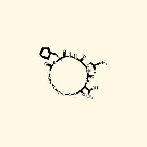 CC(O)C1NC(=O)N[C@@H](CC(N)=O)C(=O)NNC(=O)[C@H](Cc2ccccc2)NC(=O)COCCOCCNC1=O